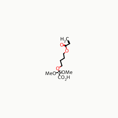 C=CC(=O)OCCCCO[Si](OC)(OC)C(=O)O